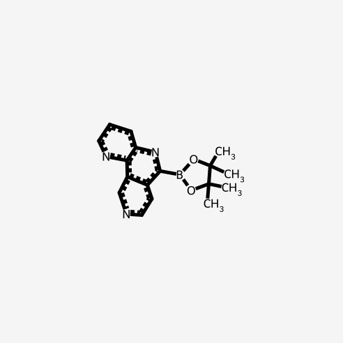 CC1(C)OB(c2nc3cccnc3c3cnccc23)OC1(C)C